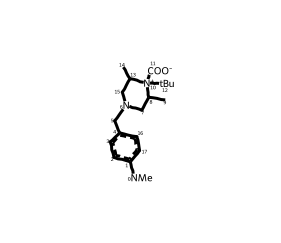 CNc1ccc(CN2CC(C)[N+](C(=O)[O-])(C(C)(C)C)C(C)C2)cc1